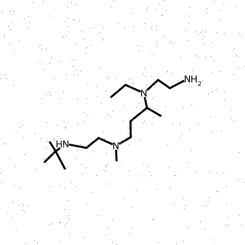 CCN(CCN)C(C)CCN(C)CCNC(C)(C)C